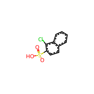 O=S(=O)(O)c1ccc2ccccc2c1Cl